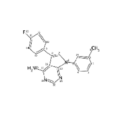 Cc1cccc(-n2cc(-c3ccc(F)cc3)c3c(N)ncnc32)c1